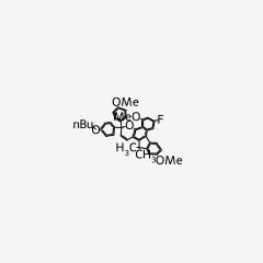 CCCCOc1ccc(C2(c3ccc(OC)cc3)C=Cc3c4c(c5cc(F)cc(OC)c5c3O2)-c2ccc(OC)cc2C4(C)C)cc1